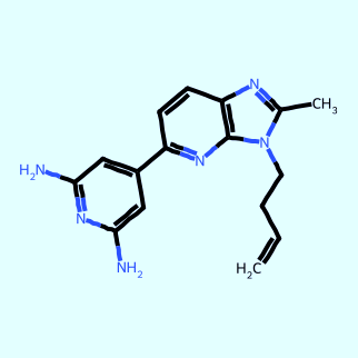 C=CCCn1c(C)nc2ccc(-c3cc(N)nc(N)c3)nc21